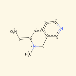 CN/C(=C\[N+](=O)[O-])N(C)Cc1cccnc1